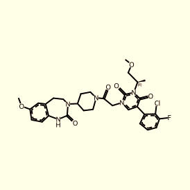 COC[C@@H](C)n1c(=O)c(-c2cccc(F)c2Cl)cn(CC(=O)N2CCC(N3CCc4cc(OC)ccc4NC3=O)CC2)c1=O